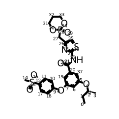 CC[C@H](C)Oc1cc(Oc2ccc(S(C)(=O)=O)cc2)cc(C(=O)Nc2nc(CP3(=O)OCCCO3)cs2)c1